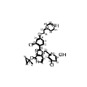 CC1(Oc2nccc3c2nc(-c2ccc(OCCN4CCNCC4)cc2Cl)n3Cc2cc(Cl)ccn2)CC1.Cl